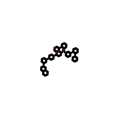 c1ccc(-c2ccccc2-c2cccc(N(c3ccc(-c4ccc(-c5cccc(-c6ccc7ccccc7c6)c5)cc4)cc3)c3ccccc3-c3ccccc3)c2)cc1